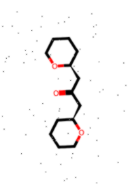 O=C(C[C@@H]1CCCCO1)C[C@@H]1CCCCO1